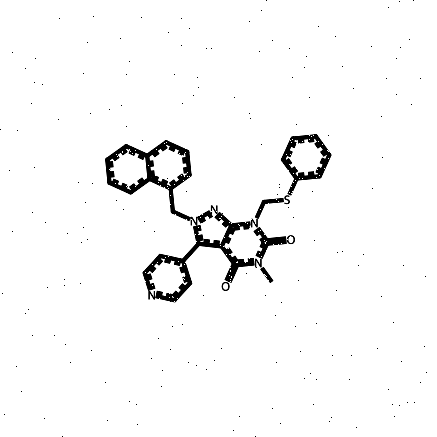 Cn1c(=O)c2c(-c3ccncc3)n(Cc3cccc4ccccc34)nc2n(CSc2ccccc2)c1=O